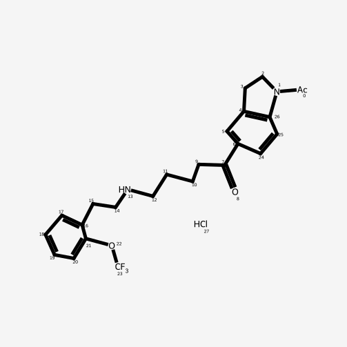 CC(=O)N1CCc2cc(C(=O)CCCCNCCc3ccccc3OC(F)(F)F)ccc21.Cl